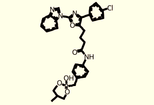 CC1CO[P](O)(Cc2ccc(NC(=O)CCCc3oc(-n4cnc5ccccc54)nc3-c3ccc(Cl)cc3)cc2)OC1